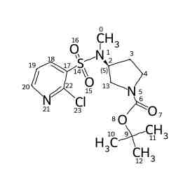 CN([C@H]1CCN(C(=O)OC(C)(C)C)C1)S(=O)(=O)c1cccnc1Cl